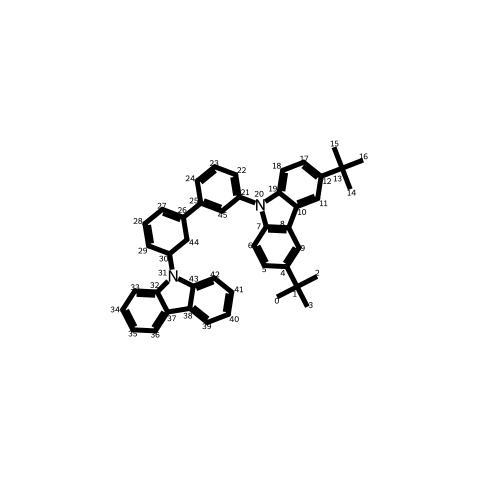 CC(C)(C)c1ccc2c(c1)c1cc(C(C)(C)C)ccc1n2-c1cccc(C2=CC=CC(n3c4ccccc4c4ccccc43)C2)c1